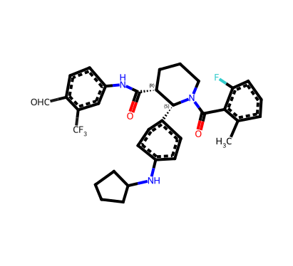 Cc1cccc(F)c1C(=O)N1CCC[C@@H](C(=O)Nc2ccc(C=O)c(C(F)(F)F)c2)[C@H]1c1ccc(NC2CCCC2)cc1